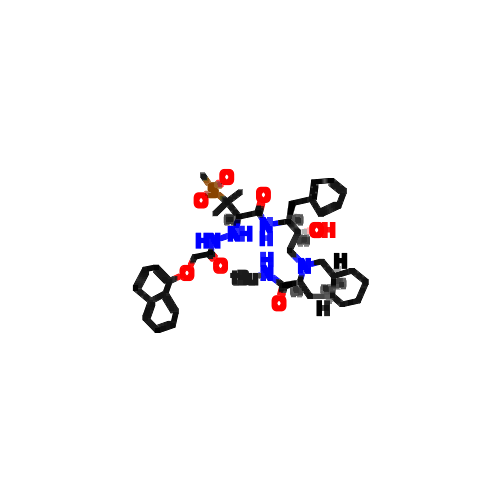 CC(C)(C)NC(=O)[C@@H]1C[C@@H]2CCCC[C@@H]2CN1C[C@@H](O)[C@H](Cc1ccccc1)NC(=O)[C@@H](NNC(=O)COc1cccc2ccccc12)C(C)(C)S(C)(=O)=O